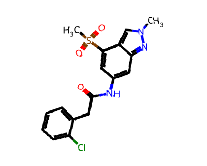 Cn1cc2c(S(C)(=O)=O)cc(NC(=O)Cc3ccccc3Cl)cc2n1